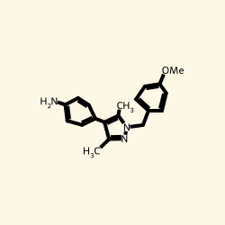 COc1ccc(Cn2nc(C)c(-c3ccc(N)cc3)c2C)cc1